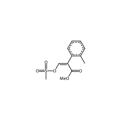 COC(=O)C(=COS(C)(=O)=O)c1ccccc1C